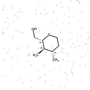 C[C@H]1[C@H](CO)OCC[C@@H]1C